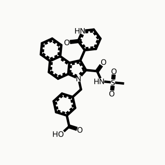 CS(=O)(=O)NC(=O)c1c(-c2ccc[nH]c2=O)c2c3ccccc3ccc2n1Cc1cccc(C(=O)O)c1